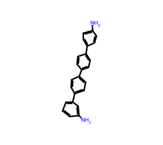 Nc1ccc(-c2ccc(-c3ccc(-c4cccc(N)c4)cc3)cc2)cc1